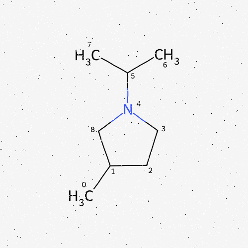 CC1CCN(C(C)C)C1